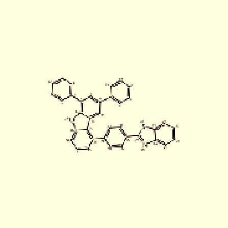 c1ccc(-c2cc(-c3ccccc3)c3oc4cccc(-c5ccc(-c6nc7ccccc7s6)cc5)c4c3c2)cc1